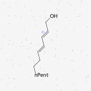 CCCCCCCC=C/C=C/CO